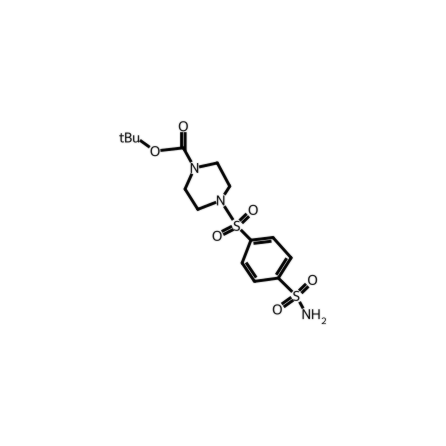 CC(C)(C)OC(=O)N1CCN(S(=O)(=O)c2ccc(S(N)(=O)=O)cc2)CC1